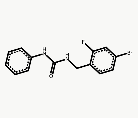 O=C(NCc1ccc(Br)cc1F)Nc1ccccc1